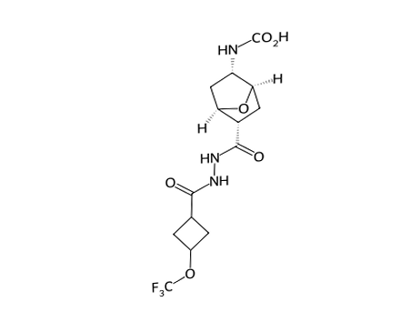 O=C(O)N[C@H]1C[C@H]2O[C@@H]1C[C@@H]2C(=O)NNC(=O)C1CC(OC(F)(F)F)C1